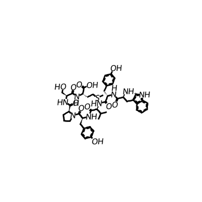 CSCC[C@H](NC(=O)[C@H](CO)NC(=O)[C@@H]1CCCN1C(=O)[C@H](Cc1ccc(O)cc1)NC(=O)[C@@H](NC(=O)[C@H](Cc1ccc(O)cc1)NC(=O)[C@@H](N)Cc1c[nH]c2ccccc12)C(C)C)C(=O)O